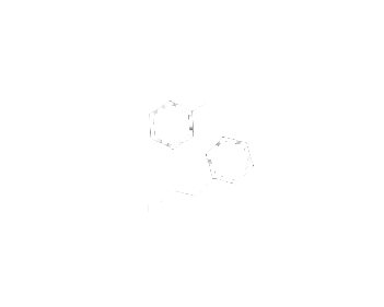 O=COCc1ccccc1.Oc1ccccc1